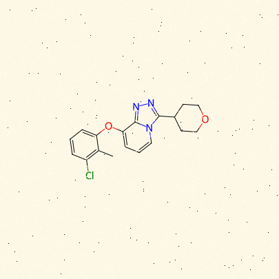 Cc1c(Cl)cccc1Oc1cccn2c(C3CCOCC3)nnc12